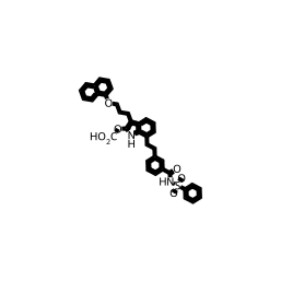 O=C(O)Oc1[nH]c2c(CCc3cccc(C(=O)NS(=O)(=O)c4ccccc4)c3)cccc2c1CCCOc1cccc2ccccc12